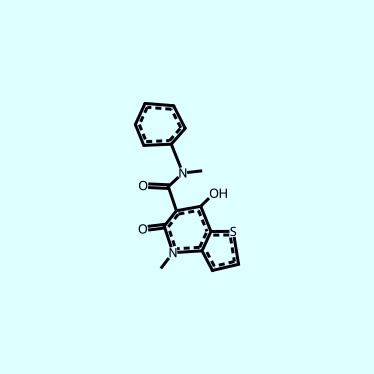 CN(C(=O)c1c(O)c2sccc2n(C)c1=O)c1ccccc1